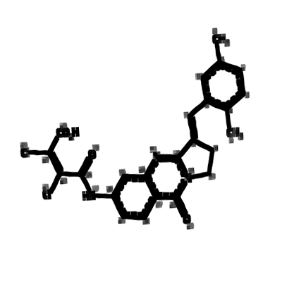 Cc1ccc(C)c(/C=C2\CCn3c2nc2cc(NC(=O)/C(Cl)=C(/Cl)C(=O)O)ccc2c3=O)c1